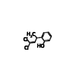 CC(C=C(Cl)Cl)c1ccccc1O